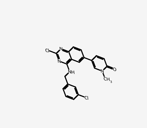 Cn1cc(-c2ccc3nc(Cl)nc(NCc4cccc(Cl)c4)c3c2)ccc1=O